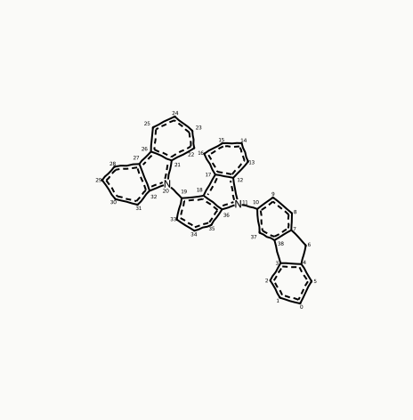 c1ccc2c(c1)Cc1ccc(-n3c4ccccc4c4c(-n5c6ccccc6c6ccccc65)cccc43)cc1-2